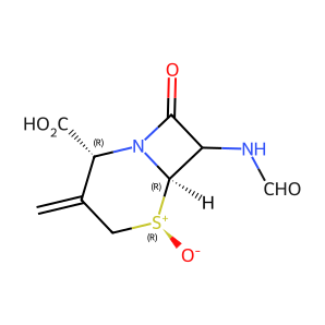 C=C1C[S@+]([O-])[C@@H]2C(NC=O)C(=O)N2[C@H]1C(=O)O